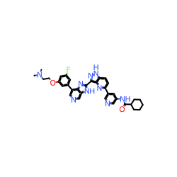 CN(C)CCOc1cc(F)cc(-c2cncc3[nH]c(-c4n[nH]c5ccc(-c6cncc(NC(=O)C7CCCCC7)c6)nc45)nc23)c1